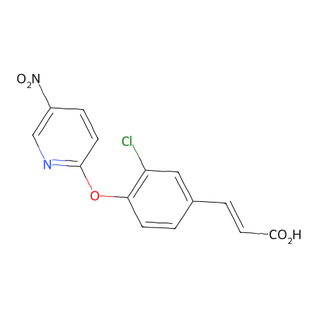 O=C(O)C=Cc1ccc(Oc2ccc([N+](=O)[O-])cn2)c(Cl)c1